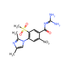 Cc1cn(-c2cc([N+](=O)[O-])c(C(=O)N=C(N)N)cc2S(C)(=O)=O)c(C)n1